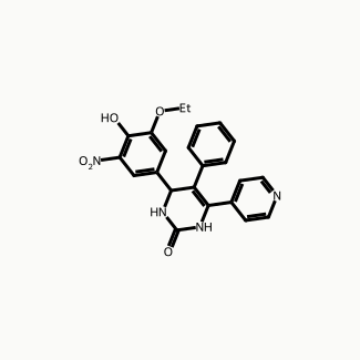 CCOc1cc(C2NC(=O)NC(c3ccncc3)=C2c2ccccc2)cc([N+](=O)[O-])c1O